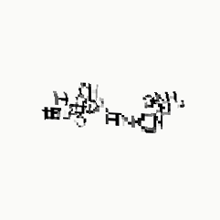 CC(C)(C)OC(=O)N1C[C@@H](CCCNc2ccnc(S(N)(=O)=O)c2)CC1(C)C